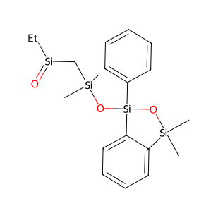 CC[Si](=O)C[Si](C)(C)O[Si](O[Si](C)(C)C)(c1ccccc1)c1ccccc1